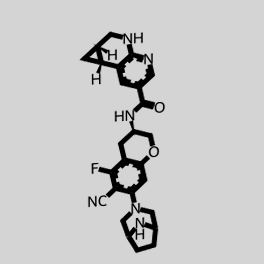 N#Cc1c(N2CC3CCC(C2)N3)cc2c(c1F)C[C@@H](NC(=O)c1cnc3c(c1)[C@@H]1C[C@@H]1CN3)CO2